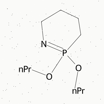 CCCOP1(OCCC)=NCCCC1